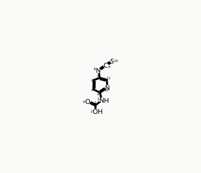 O=C(O)Nc1ccc(N=C=S)cn1